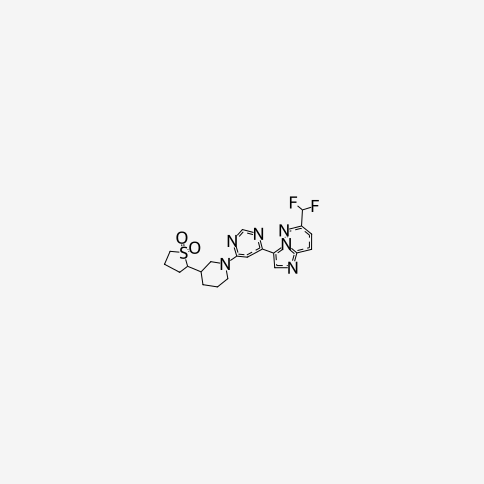 O=S1(=O)CCCC1C1CCCN(c2cc(-c3cnc4ccc(C(F)F)nn34)ncn2)C1